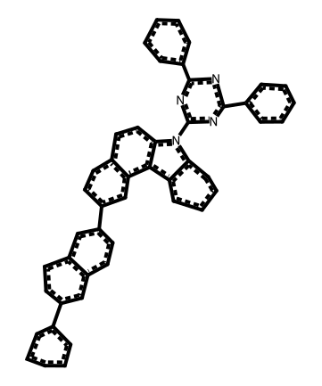 c1ccc(-c2ccc3cc(-c4ccc5ccc6c(c5c4)c4ccccc4n6-c4nc(-c5ccccc5)nc(-c5ccccc5)n4)ccc3c2)cc1